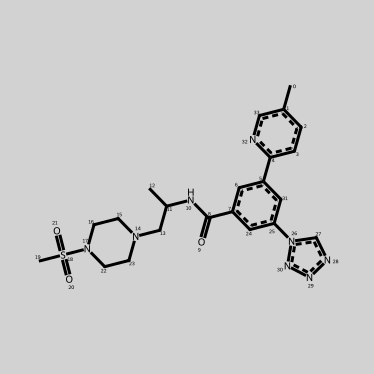 Cc1ccc(-c2cc(C(=O)NC(C)CN3CCN(S(C)(=O)=O)CC3)cc(-n3cnnn3)c2)nc1